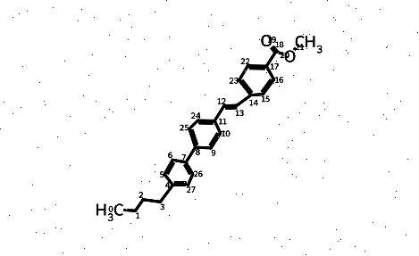 CCCCc1ccc(-c2ccc(/C=C/c3ccc(C(=O)OC)cc3)cc2)cc1